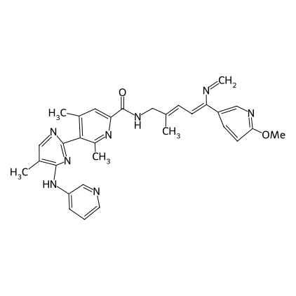 C=N/C(=C\C=C(/C)CNC(=O)c1cc(C)c(-c2ncc(C)c(Nc3cccnc3)n2)c(C)n1)c1ccc(OC)nc1